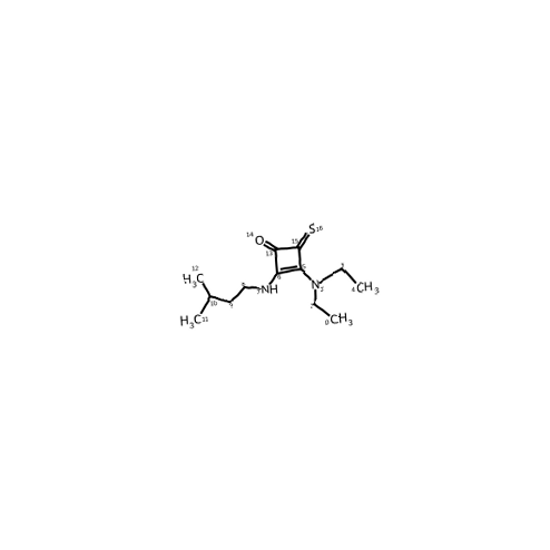 CCN(CC)c1c(NCCC(C)C)c(=O)c1=S